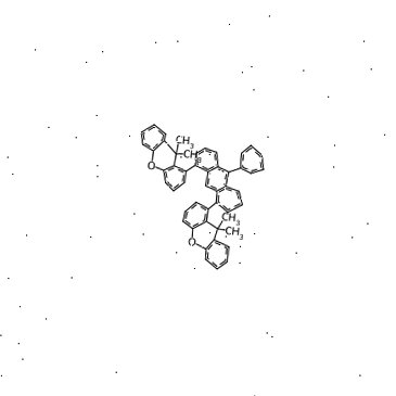 CC1(C)c2ccccc2Oc2cccc(-c3cccc4c(-c5ccccc5)c5cccc(-c6cccc7c6C(C)(C)c6ccccc6O7)c5cc34)c21